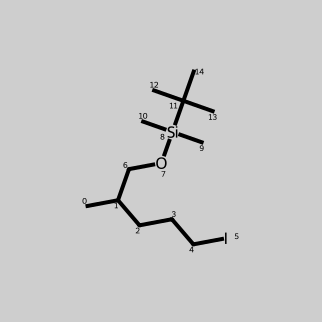 CC(CCCI)CO[Si](C)(C)C(C)(C)C